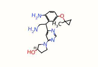 CC1(Oc2ccc(N)c(C(CN)c3cc(N4CC[C@@H](O)C4)ncn3)c2)CC1